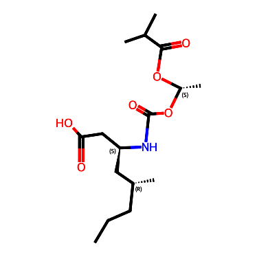 CCC[C@@H](C)C[C@@H](CC(=O)O)NC(=O)O[C@@H](C)OC(=O)C(C)C